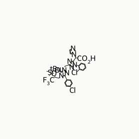 CC(C)(C)[Si](C)(C)O[C@@H](Cn1c(-c2ccc(Cl)cc2)nn(Cc2nc(C(C(=O)O)n3ccnc3)n(-c3ccccc3Cl)n2)c1=O)C(F)(F)F